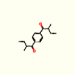 CCC(C)C(=O)c1ccc(C(=O)C(C)CC)cc1